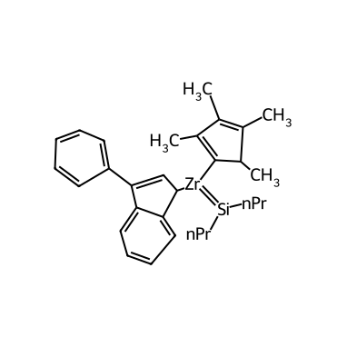 CCC[Si](CCC)=[Zr]([C]1=C(C)C(C)=C(C)C1C)[CH]1C=C(c2ccccc2)c2ccccc21